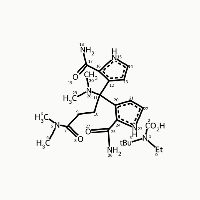 CCN(C(=O)O)C(C)(C)C.CN(C)C(=O)CCC(c1cc[nH]c1C(N)=O)(c1cc[nH]c1C(N)=O)N(C)C